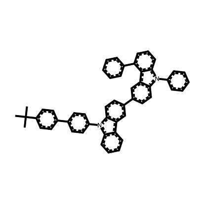 CC(C)(C)c1ccc(-c2ccc(-n3c4ccccc4c4cc(-c5ccc6c(c5)c5c(-c7ccccc7)cccc5n6-c5ccccc5)ccc43)cc2)cc1